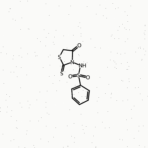 O=C1CSC(=S)N1NS(=O)(=O)c1ccccc1